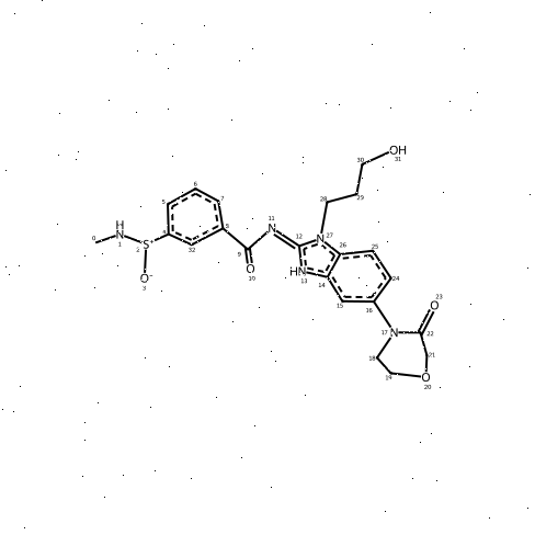 CN[S+]([O-])c1cccc(C(=O)/N=c2\[nH]c3cc(N4CCOCC4=O)ccc3n2CCCO)c1